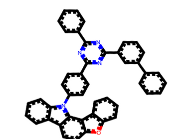 c1ccc(-c2cccc(-c3nc(-c4ccccc4)nc(-c4ccc(-n5c6ccccc6c6ccc7oc8ccccc8c7c65)cc4)n3)c2)cc1